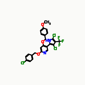 COc1ccc(COc2cc(OCc3ccc(Cl)cc3)ncc2-c2[nH]c(Cl)c(C(F)(F)F)c2Cl)cc1